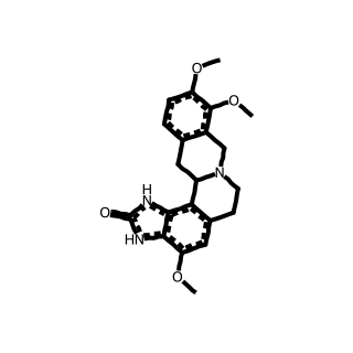 COc1ccc2c(c1OC)CN1CCc3cc(OC)c4[nH]c(=O)[nH]c4c3C1C2